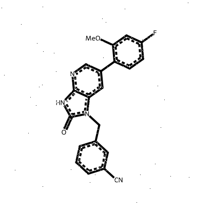 COc1cc(F)ccc1-c1cnc2[nH]c(=O)n(Cc3cccc(C#N)c3)c2c1